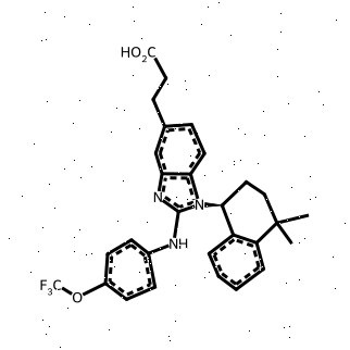 CC1(C)CC[C@H](n2c(Nc3ccc(OC(F)(F)F)cc3)nc3cc(CCC(=O)O)ccc32)c2ccccc21